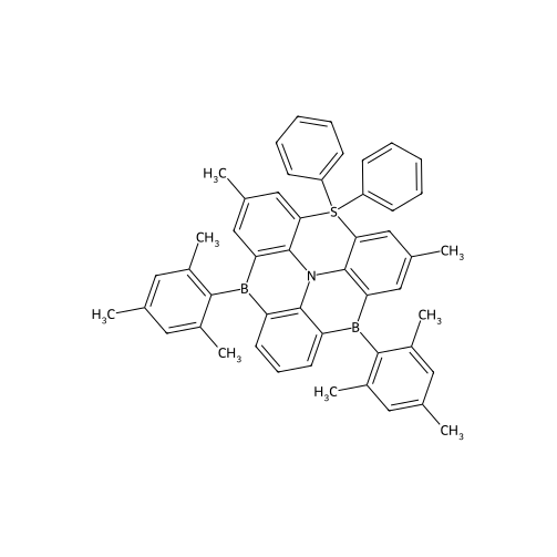 Cc1cc(C)c(B2c3cccc4c3N3c5c2cc(C)cc5S(c2ccccc2)(c2ccccc2)c2cc(C)cc(c23)B4c2c(C)cc(C)cc2C)c(C)c1